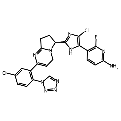 Nc1ccc(-c2[nH]c([C@@H]3CCC4=NC(c5cc(Cl)ccc5-n5cnnn5)=CCN43)nc2Cl)c(F)n1